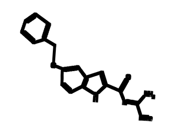 CNC(N)=NC(=O)c1cc2cc(OCc3ccccc3)ccc2[nH]1